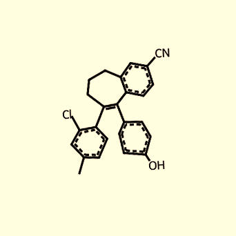 Cc1ccc(C2=C(c3ccc(O)cc3)c3ccc(C#N)cc3CCC2)c(Cl)c1